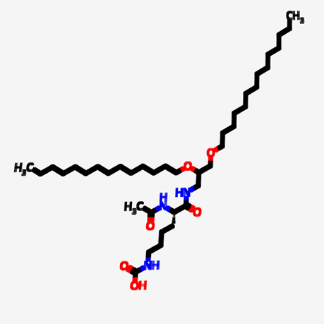 CCCCCCCCCCCCCCOCC(CNC(=O)[C@H](CCCCNC(=O)O)NC(C)=O)OCCCCCCCCCCCCCC